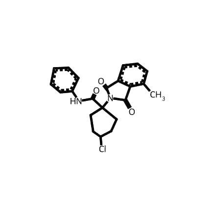 Cc1cccc2c1C(=O)N(C1(C(=O)Nc3ccccc3)CCC(Cl)CC1)C2=O